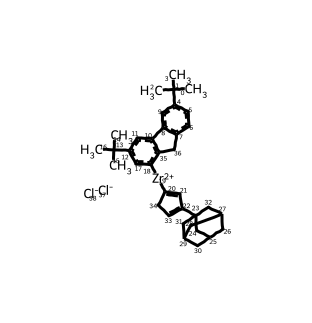 CC(C)(C)c1ccc2c(c1)-c1cc(C(C)(C)C)c[c]([Zr+2][C]3=CC(C45CC6CC(CC(C6)C4)C5)=CC3)c1C2.[Cl-].[Cl-]